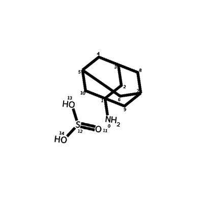 NC12CC3CC(CC(C3)C1)C2.O=S(O)O